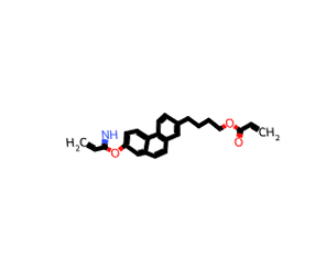 C=CC(=N)Oc1ccc2c(ccc3cc(CCCCOC(=O)C=C)ccc32)c1